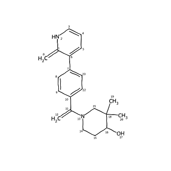 C=C1NC=CC=C1c1ccc(C(=C)N2CCC(O)C(C)(C)C2)cc1